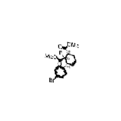 COC(=O)[C@@H]1CC=C[C@H](c2ccc(Br)cc2)[C@@]1(F)C(=O)OC